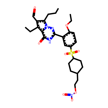 CCCc1c(C=O)c(CC)c2c(=O)[nH]c(-c3cc(S(=O)(=O)C4CCC(CCO[N+](=O)[O-])CC4)ccc3OCC)nn12